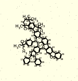 CC(C)(C)c1ccc(N2B3c4cc5nc(-c6ccccc6)n(-c6ccccc6)c5cc4-n4c5cc6oc7ccccc7c6cc5c5ccc(c3c54)-c3cc4c(cc32)-c2cc3c(cc2C4(C)C)C(C)(C)CCC3(C)C)cc1